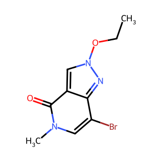 CCOn1cc2c(=O)n(C)cc(Br)c2n1